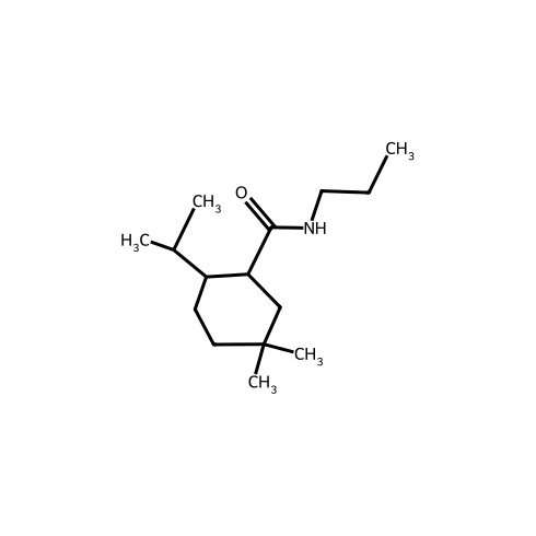 CCCNC(=O)C1CC(C)(C)CCC1C(C)C